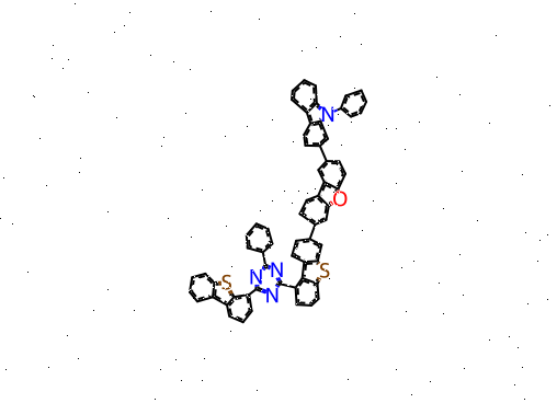 c1ccc(-c2nc(-c3cccc4c3sc3ccccc34)nc(-c3cccc4sc5cc(-c6ccc7c(c6)oc6ccc(-c8ccc9c%10ccccc%10n(-c%10ccccc%10)c9c8)cc67)ccc5c34)n2)cc1